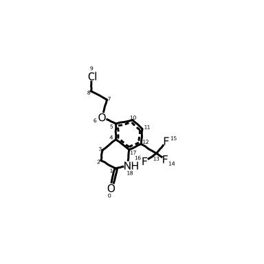 O=C1CCc2c(OCCCl)ccc(C(F)(F)F)c2N1